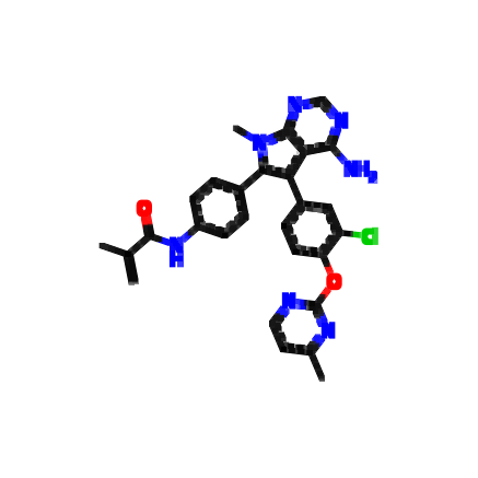 C=C(C)C(=O)Nc1ccc(-c2c(-c3ccc(Oc4nccc(C)n4)c(Cl)c3)c3c(N)ncnc3n2C)cc1